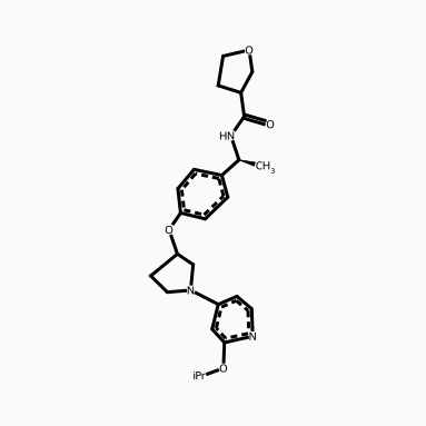 CC(C)Oc1cc(N2CCC(Oc3ccc([C@H](C)NC(=O)C4CCOC4)cc3)C2)ccn1